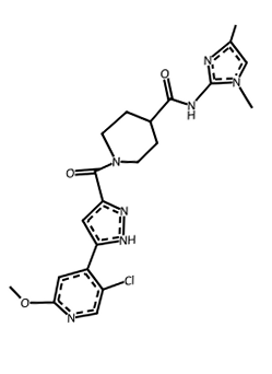 COc1cc(-c2cc(C(=O)N3CCC(C(=O)Nc4nc(C)cn4C)CC3)n[nH]2)c(Cl)cn1